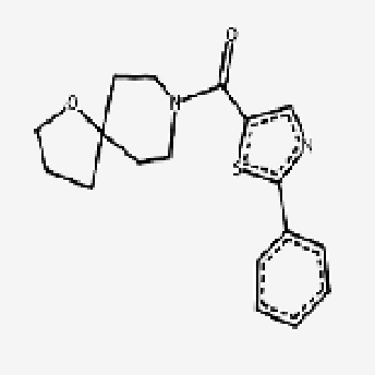 O=C(c1cnc(-c2ccccc2)s1)N1CCC2(CCCO2)CC1